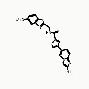 COc1ccc2oc(CNC(=O)c3cc(-c4ccc5nc(N)nn5c4)cs3)nc2c1